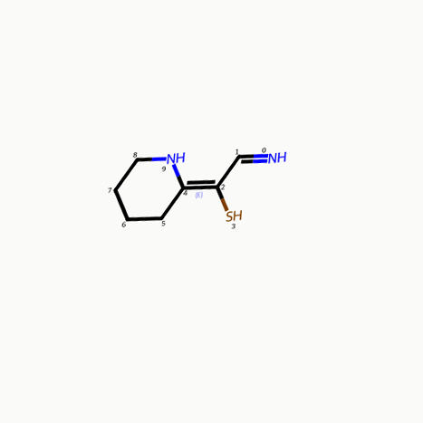 N=C/C(S)=C1/CCCCN1